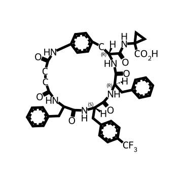 O=C1CCC(=O)NC(Cc2ccccc2)C(=O)N[C@@H](Cc2ccc(C(F)(F)F)cc2)C(=O)N[C@H](Cc2ccccc2)C(=O)N[C@@H](C(=O)NC2(C(=O)O)CC2)Cc2ccc(cc2)N1